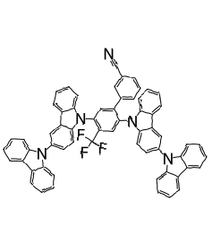 N#Cc1cccc(-c2cc(-n3c4ccccc4c4cc(-n5c6ccccc6c6ccccc65)ccc43)c(C(F)(F)F)cc2-n2c3ccccc3c3cc(-n4c5ccccc5c5ccccc54)ccc32)c1